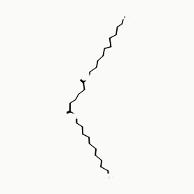 CCC(C)CCCCCCCCCCOC(=O)CCCCC(=O)OCCCCCCCCCCC(C)CC